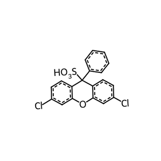 O=S(=O)(O)C1(c2ccccc2)c2ccc(Cl)cc2Oc2cc(Cl)ccc21